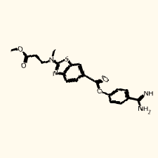 COC(=O)CCN(C)c1nc2ccc(C(=O)Oc3ccc(C(=N)N)cc3)cc2s1